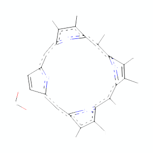 CCC1=C(CC)c2nc1c(CC)c1[nH]c(cc3nc(cc4[nH]c(c2CC)c(CC)c4CC)C=C3)c(CC)c1CC.[OH][Sn][OH]